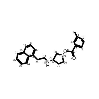 Cc1cccc(C(=O)ON2CC[C@H](NCCc3cccc4ccccc34)C2)c1